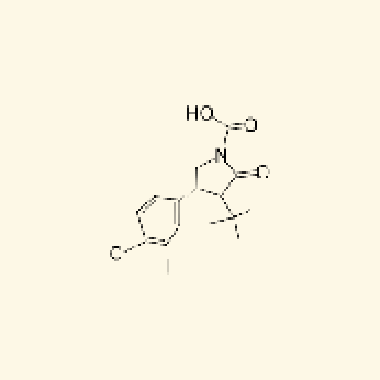 CC(C)(C)C1C(=O)N(C(=O)O)C[C@H]1c1ccc(Cl)c(I)c1